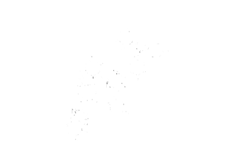 c1ccc(-c2nc(-c3ccc4c5ccccc5n(-c5ccccc5)c4c3)nc(-c3cccc4sc5cc(-c6nc7ccccc7s6)ccc5c34)n2)cc1